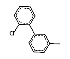 Cc1cccc(-c2[c]cccc2Cl)c1